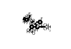 CC(C)(O)C#Cc1ccc(-c2cccc3c(=O)[nH]c(=O)[nH]c23)c([C@H](Cc2cc(F)cc(F)c2)NC(=O)Cn2nc(C(F)(F)F)c3c2C(F)(F)[C@@H]2CC[C@H]32)n1